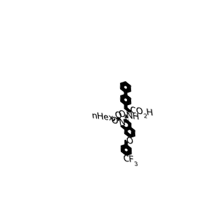 CCCCCCOC(=O)N1CC2C=C(OCc3ccc(C(F)(F)F)cc3)C=CC2C[C@H]1C(=O)N[C@@H](Cc1ccc(-c2ccccc2)cc1)C(=O)O